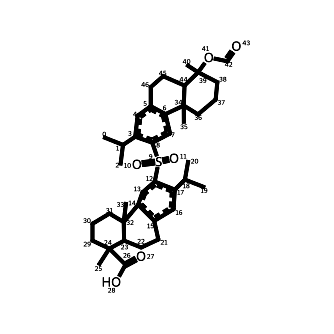 CC(C)c1cc2c(cc1S(=O)(=O)c1cc3c(cc1C(C)C)CCC1C(C)(C(=O)O)CCCC31C)C1(C)CCCC(C)(OC=O)C1CC2